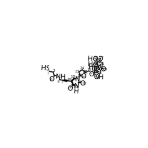 O=C(CCS)NCC#Cc1cn([C@H]2CC[C@@H](COP(=O)(O)OP(=O)(O)OP(=O)(O)O)O2)c(=O)[nH]c1=O